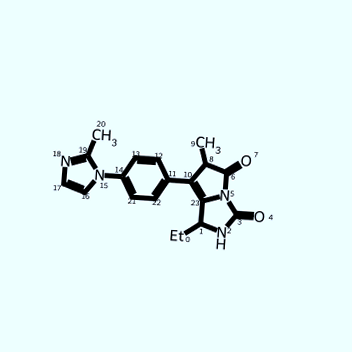 CCC1NC(=O)N2C(=O)C(C)C(c3ccc(-n4ccnc4C)cc3)=C12